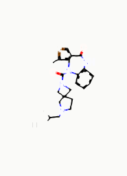 Cc1scc2c1N(C(=O)N1CC3(CCN(CC(C)C)C3)C1)c1ccccc1NC2=O